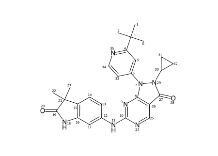 CC(C)(C)c1cc(-n2c3nc(Nc4ccc5c(c4)NC(=O)C5(C)C)ncc3c(=O)n2C2CC2)ccn1